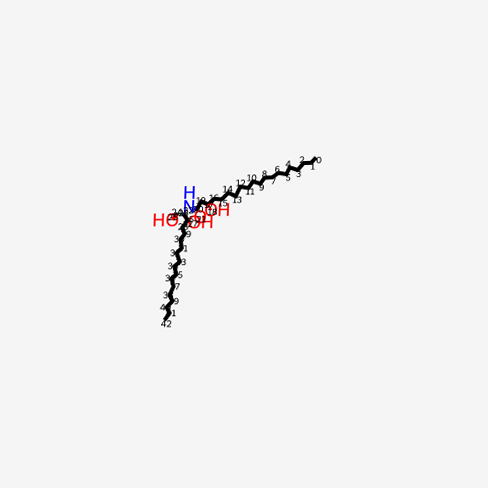 CCCCCCCCCCCCCCCCC[C@@H](O)CC(=O)N[C@@H](CO)[C@H](O)CCCCCCCCCCCCCCC